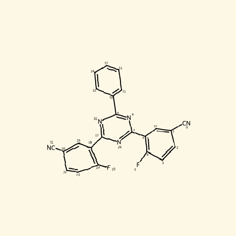 N#Cc1ccc(F)c(-c2nc(-c3ccccc3)nc(-c3cc(C#N)ccc3F)n2)c1